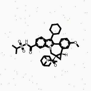 COc1ccc2c(c1)[C@@H]1C[C@]1(C(=O)N1C3CC1CN(C)C3)Cn1c-2c(C2CCCCC2)c2ccc(C(=O)NS(=O)(=O)C(C)C)cc21